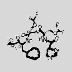 C[C@]1(C(=O)[C@H](Cc2ccccc2)NC(=O)[C@H](COC(F)F)NC(=O)[C@H](COC(F)F)NC(=O)c2ccncn2)CO1